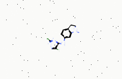 CN1CCc2ccc(Nc3nc(Cl)ncc3Cl)cc21